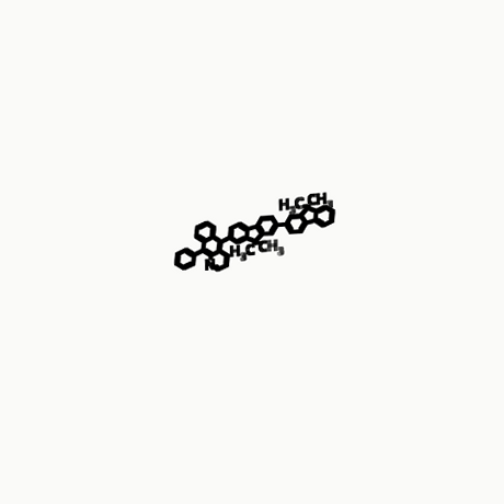 CC1(C)c2ccccc2-c2ccc(-c3ccc4c(c3)C(C)(C)c3cc(-c5c6ccccc6c(-c6ccccc6)c6ncccc56)ccc3-4)cc21